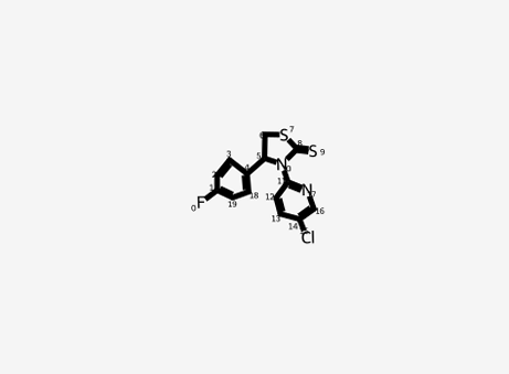 Fc1ccc(C2CSC(=S)N2c2ccc(Cl)cn2)cc1